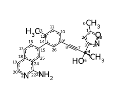 Cc1cc([C@](C)(O)C#Cc2ccc(C)c(-c3ccc4ccnc(N)c4c3)c2)no1